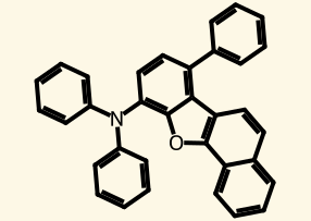 c1ccc(-c2ccc(N(c3ccccc3)c3ccccc3)c3oc4c5ccccc5ccc4c23)cc1